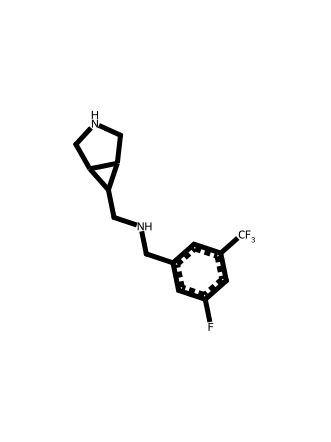 Fc1cc(CNCC2C3CNCC23)cc(C(F)(F)F)c1